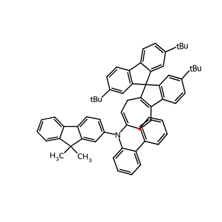 CC(C)(C)c1ccc2c(c1)C1(C3=C2C=CC(N(c2ccc4c(c2)C(C)(C)c2ccccc2-4)c2ccccc2-c2ccccc2)=CC3)c2cc(C(C)(C)C)ccc2-c2ccc(C(C)(C)C)cc21